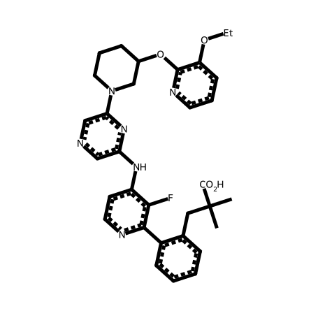 CCOc1cccnc1OC1CCCN(c2cncc(Nc3ccnc(-c4ccccc4CC(C)(C)C(=O)O)c3F)n2)C1